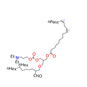 CCCCC/C=C\C/C=C\CCCCCCCC(=O)OCC(COCC(C=O)CCCCC(CCCCCC)CCCCCC)COC(=O)OCCCN(CC)CC